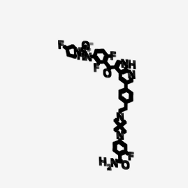 NC(=O)c1ccc(N2CC3(CN(CCc4ccc(-c5cnc6[nH]cc(C(=O)c7c(F)ccc(N[S+]([O-])N8CCC(F)C8)c7F)c6c5)cc4)C3)C2)cc1F